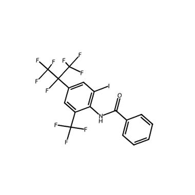 O=C(Nc1c(I)cc(C(F)(C(F)(F)F)C(F)(F)F)cc1C(F)(F)F)c1ccccc1